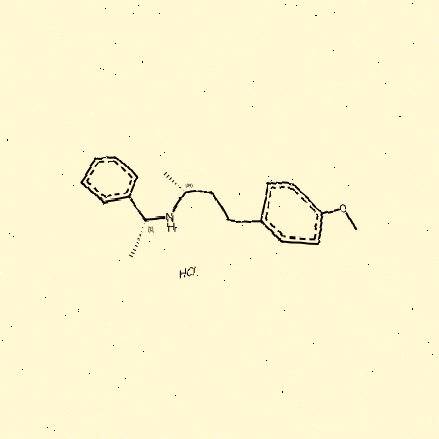 COc1ccc(CC[C@@H](C)N[C@H](C)c2ccccc2)cc1.Cl